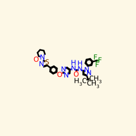 CC(C)(C)c1cc(NC(=O)Nc2cnc(Oc3ccc(-c4cnc(N5CCCCC5=O)s4)cc3)nc2)n(-c2cccc(C(F)(F)F)c2)n1